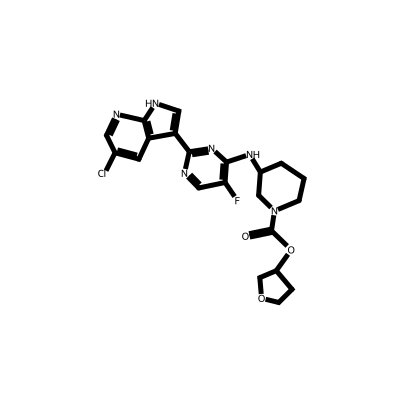 O=C(OC1CCOC1)N1CCCC(Nc2nc(-c3c[nH]c4ncc(Cl)cc34)ncc2F)C1